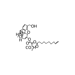 C=CCCCCCCCC(=O)O[C@@H](CC(=O)O)C(=O)OC1=CC[C@@]2(O)[C@H]3Cc4ccc(CO)c5c4C2(CCN3C)C1O5